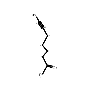 CC(C)C#CCCCCC(=O)C(C)C